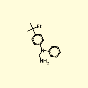 CCC(C)(C)c1ccc(N(CN)c2ccccc2)cc1